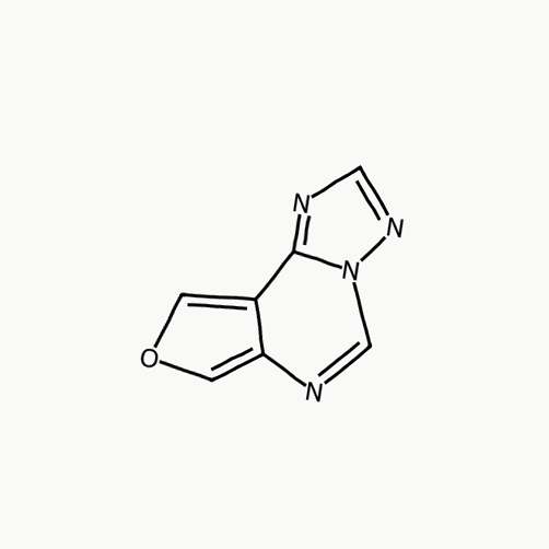 c1nc2c3cocc3ncn2n1